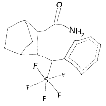 NC(=O)C1C2CCC(C2)C1C(c1ccccc1)S(F)(F)(F)(F)F